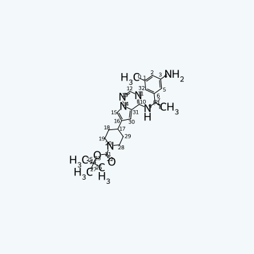 Cc1cc(N)cc([C@@H](C)Nc2ncnn3cc(C4CCN(C(=O)OC(C)(C)C)CC4)cc23)c1